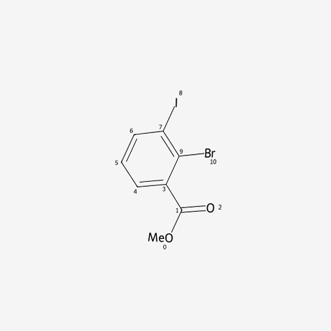 COC(=O)c1cccc(I)c1Br